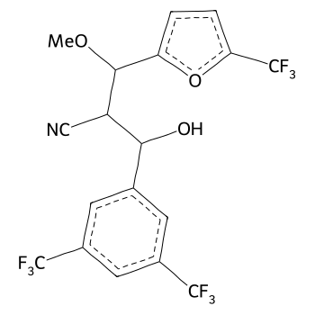 COC(c1ccc(C(F)(F)F)o1)C(C#N)C(O)c1cc(C(F)(F)F)cc(C(F)(F)F)c1